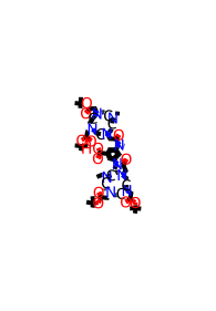 CCN1CCN(CC(=O)OC(C)(C)C)CCN(CC(=O)OC(C)(C)C)CCN(CC(=O)N(C)c2cc(C(=O)O)cc(N(C)C(=O)CN3CCN(CC)CCN(CC(=O)OC(C)(C)C)CCN(CC(=O)OC(C)(C)C)CC3)c2)CC1